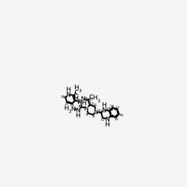 CC1=C(NC(NN)N2CCN(C3CNc4ccccc4N3)CC2C(C)N)C=CCN1